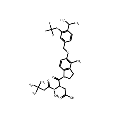 Cc1c(OCc2ccc(C(C)C)c(OC(F)(F)F)c2)ccc2c1CCN2C(=O)[C@@H](CC(=O)O)N(C)C(=O)OC(C)(C)C